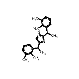 Cc1cccc(C(C)c2c[nH]c(C(C)c3cccc(C)c3C)n2)c1C